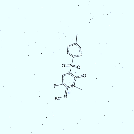 CC(=O)/N=c1\c(F)cn(S(=O)(=O)c2ccc(C)cc2)c(=O)n1C